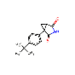 CC(C)(C)c1ccc(C23CC2C(=O)NC3=O)cc1